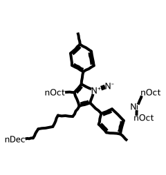 CCCCCCCCCCCCCCCC1=C(c2ccc(C)cc2)[N+](=[N-])C(c2ccc(C)cc2)=C1CCCCCCCC.CCCCCCC[CH2][Ni][CH2]CCCCCCC